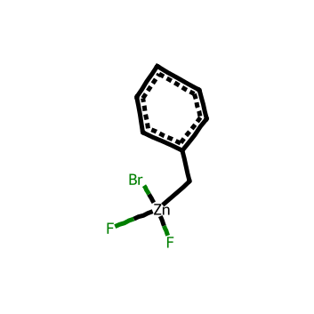 [F][Zn]([F])([Br])[CH2]c1ccccc1